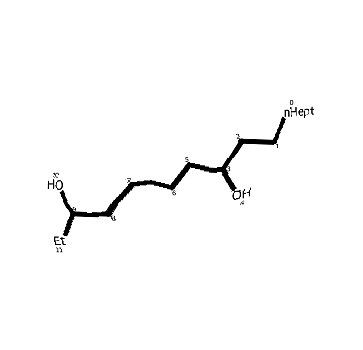 CCCCCCCCCC(O)CCCCC(O)CC